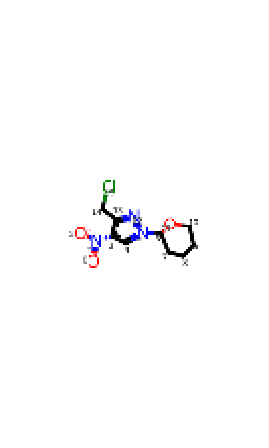 O=[N+]([O-])c1cn(C2CCCCO2)nc1CCl